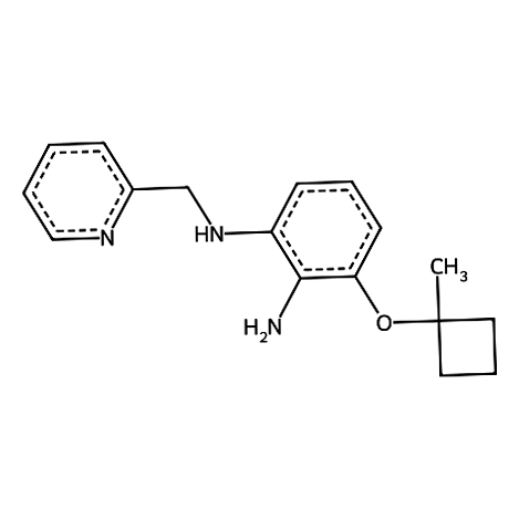 CC1(Oc2cccc(NCc3ccccn3)c2N)CCC1